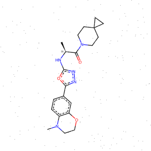 C[C@H](Nc1nnc(-c2ccc3c(c2)OCCN3C)o1)C(=O)N1CCC2(CC1)CC2